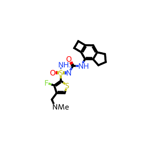 CNCc1csc([S@@](N)(=O)=NC(=O)Nc2c3c(cc4c2CC4)CCC3)c1F